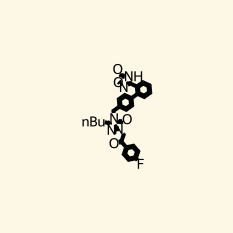 CCCCc1nn(CC(=O)c2ccc(F)cc2)c(=O)n1Cc1ccc(-c2ccccc2-c2noc(=O)[nH]2)cc1